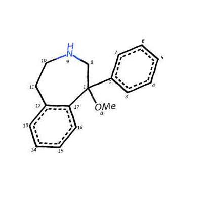 COC1(c2ccccc2)CNCCc2ccccc21